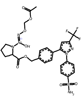 CC(=O)OCO/N=[N+](\O)N1CCCC1C(=O)OCc1ccc(-c2cc(C(F)(F)F)nn2-c2ccc(S(N)(=O)=O)cc2)cc1